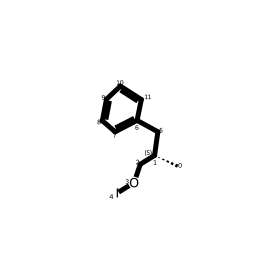 C[C@H](COI)Cc1ccccc1